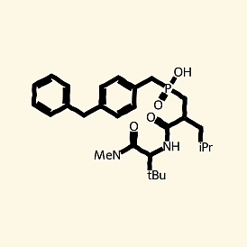 CNC(=O)C(NC(=O)C(CC(C)C)CP(=O)(O)Cc1ccc(Cc2ccccc2)cc1)C(C)(C)C